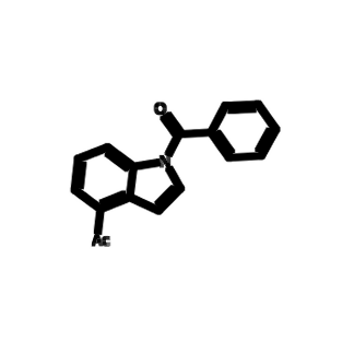 CC(=O)c1cccc2c1ccn2C(=O)c1ccccc1